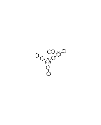 C1=CCC(C2C=CC(c3nc(C4=CC=C(c5ccc(C6=CCCC=C6)nc5C5=CCC6CCC=CC6C5)CC4)nc(C4=CCC(C5=CCCCC5)CC4)n3)CC2)C=C1